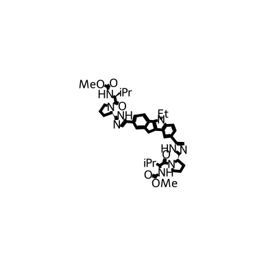 CCn1c2c(c3cc(-c4cnc([C@@H]5CCCN5C(=O)C(NC(=O)OC)C(C)C)[nH]4)ccc31)Cc1cc(-c3cnc([C@@H]4CCCN4C(=O)[C@@H](NC(=O)OC)C(C)C)[nH]3)ccc1-2